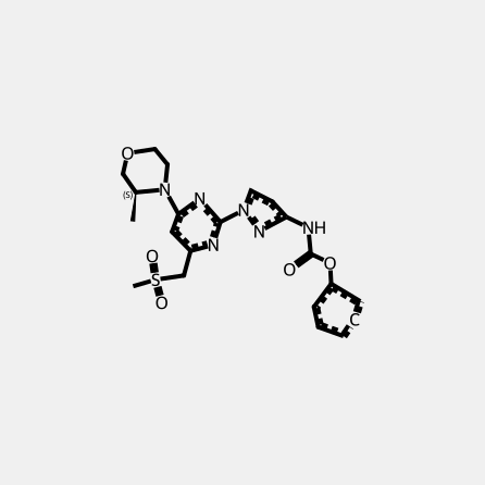 C[C@H]1COCCN1c1cc(CS(C)(=O)=O)nc(-n2ccc(NC(=O)Oc3ccccc3)n2)n1